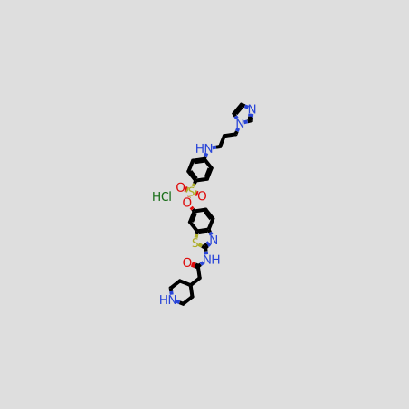 Cl.O=C(CC1CCNCC1)Nc1nc2ccc(OS(=O)(=O)c3ccc(NCCCn4ccnc4)cc3)cc2s1